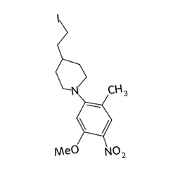 COc1cc(N2CCC(CCI)CC2)c(C)cc1[N+](=O)[O-]